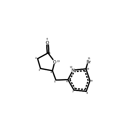 O=C1CCC(Cc2cccc(Br)n2)O1